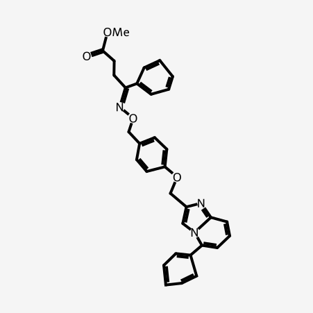 COC(=O)CCC(=NOCc1ccc(OCc2cn3c(-c4ccccc4)cccc3n2)cc1)c1ccccc1